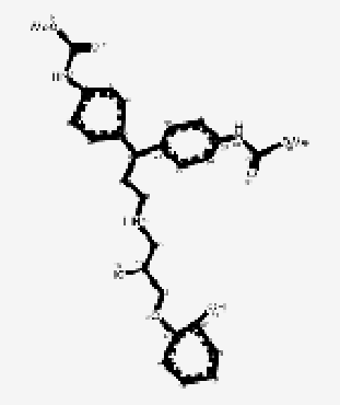 COC(=O)Nc1ccc(C(CCNC[C@H](O)COc2ccccc2O)c2ccc(NC(=O)OC)cc2)cc1